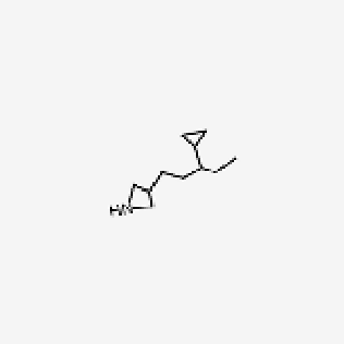 CCC(CCC1CNC1)C1CC1